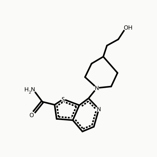 NC(=O)c1cc2ccnc(N3CCC(CCO)CC3)c2s1